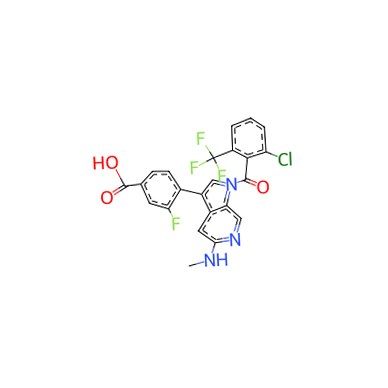 CNc1cc2c(-c3ccc(C(=O)O)cc3F)cn(C(=O)c3c(Cl)cccc3C(F)(F)F)c2cn1